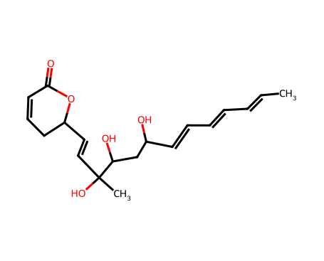 C/C=C/C=C/C=C/C(O)CC(O)C(C)(O)/C=C/C1CC=CC(=O)O1